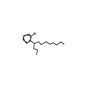 CCCCCCCCC(CCC)c1ccccc1Br